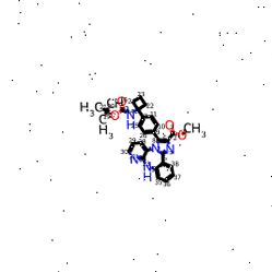 COC(=O)c1nc2n(c1-c1ccc(C3(NC(=O)OC(C)(C)C)CCC3)cc1)-c1cccnc1Nc1ccccc1-2